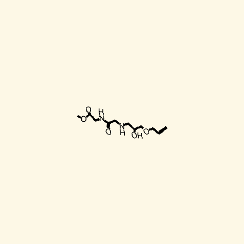 C=CCOCC(O)CNCC(=O)NCC(=O)OC